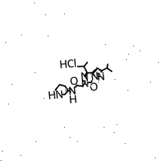 CC(C)c1cc2c(C(C)C)nn(CC(=O)N[C@@H]3CCCNC3)c(=O)n2n1.Cl